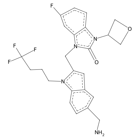 NCc1ccc2c(c1)cc(Cn1c(=O)n(C3COC3)c3ccc(F)cc31)n2CCCC(F)(F)F